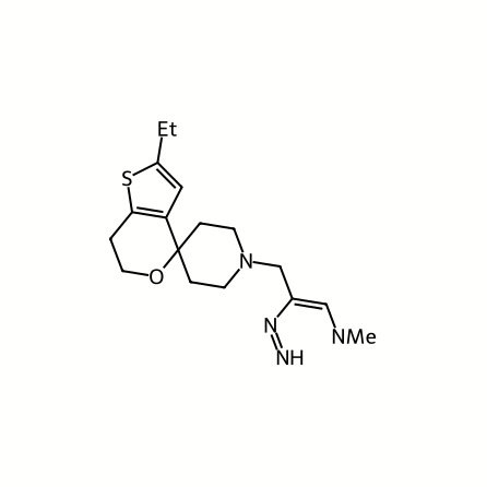 CCc1cc2c(s1)CCOC21CCN(C/C(=C/NC)N=N)CC1